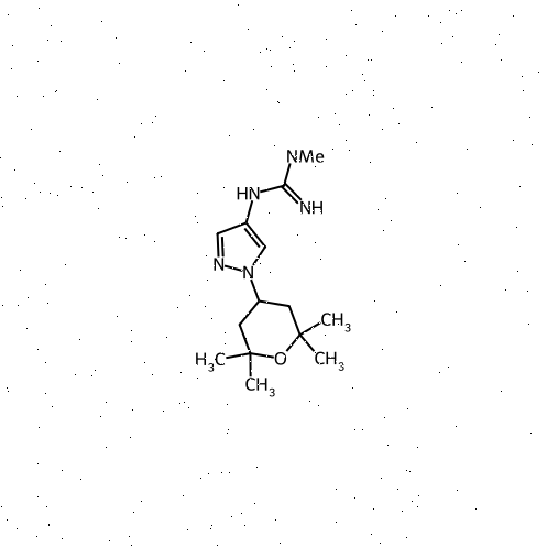 CNC(=N)Nc1cnn(C2CC(C)(C)OC(C)(C)C2)c1